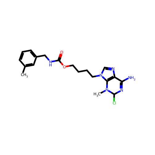 Cc1cccc(CNC(=O)OCCCCn2cnc3c2N(C)C(Cl)N=C3N)c1